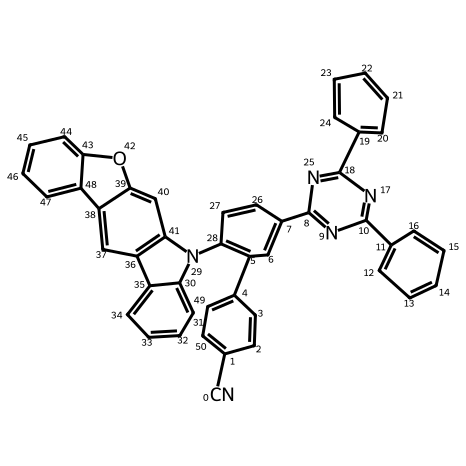 N#Cc1ccc(-c2cc(-c3nc(-c4ccccc4)nc(-c4ccccc4)n3)ccc2-n2c3ccccc3c3cc4c(cc32)oc2ccccc24)cc1